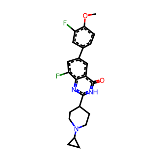 COc1ccc(-c2cc(F)c3nc(C4CCN(C5CC5)CC4)[nH]c(=O)c3c2)cc1F